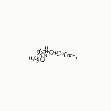 CN1CCN(C2CCN(c3ccc(Nc4nc5cccc(S(C)(=O)=O)c5c5cn[nH]c45)cc3)CC2)CC1